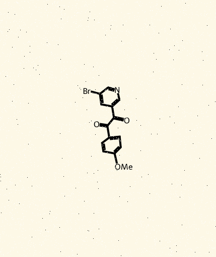 COc1ccc(C(=O)C(=O)c2cncc(Br)c2)cc1